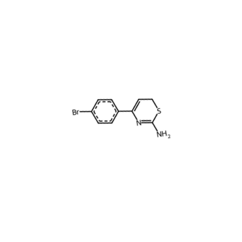 NC1=NC(c2ccc(Br)cc2)=CCS1